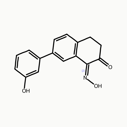 O=C1CCc2ccc(-c3cccc(O)c3)cc2/C1=N/O